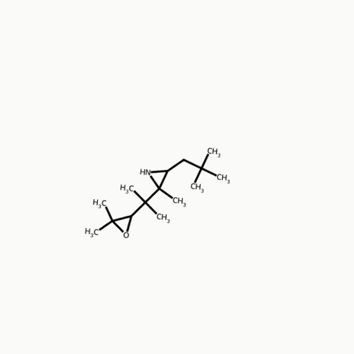 CC(C)(C)CC1NC1(C)C(C)(C)C1OC1(C)C